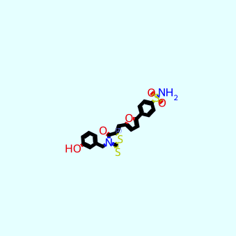 NS(=O)(=O)c1ccc(-c2ccc(/C=C3\SC(=S)N(Cc4cccc(O)c4)C3=O)o2)cc1